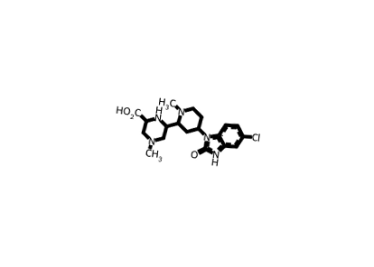 CN1CC(C(=O)O)NC(C2CC(n3c(=O)[nH]c4cc(Cl)ccc43)CCN2C)C1